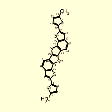 Cc1ccc(-c2cc3ccc4c(sc5c6ccc7cc(-c8ccc(C)s8)sc7c6sc45)c3s2)s1